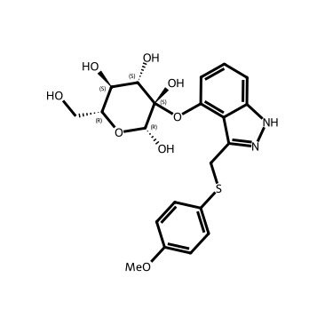 COc1ccc(SCc2n[nH]c3cccc(O[C@]4(O)[C@H](O)O[C@H](CO)[C@@H](O)[C@@H]4O)c23)cc1